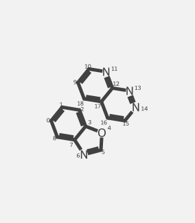 c1ccc2ocnc2c1.c1cnc2nnccc2c1